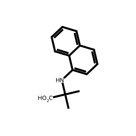 CC(C)(Nc1cccc2ccccc12)C(=O)O